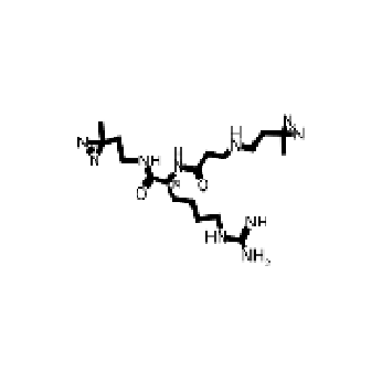 CC1(CCNCCC(=O)N[C@@H](CCCCNC(=N)N)C(=O)NCCC2(C)N=N2)N=N1